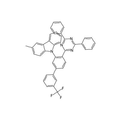 Cc1ccc2c(c1)c1ccccc1n2-c1cc(-c2cccc(C(F)(F)F)c2)ccc1-c1nc(-c2ccccc2)nc(-c2ccccc2)n1